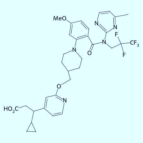 COc1ccc(C(=O)N(CC(F)(F)C(F)(F)F)c2nccc(C)n2)c(N2CCC(COc3cc(C(CC(=O)O)C4CC4)ccn3)CC2)c1